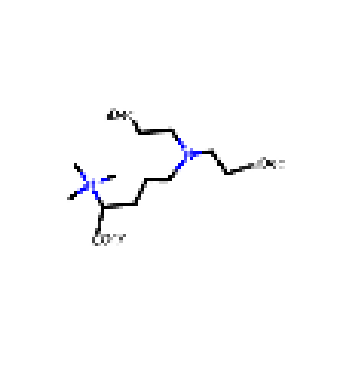 CCCCCCCCCCCCN(CCCCCCCCCCCC)CCCC(C(=O)[O-])[N+](C)(C)C